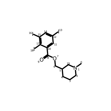 CN1CCCC(COC(=O)c2cc(I)cc(I)c2I)C1